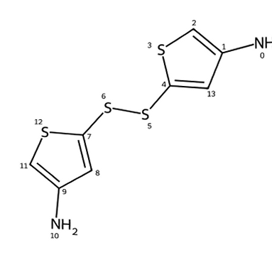 Nc1csc(SSc2cc(N)cs2)c1